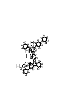 CC1(C)c2ccccc2-c2cc3c4ccccc4n(C4=CC=C(C5N=C(c6ccc(-c7ccccc7)cc6)NC(c6ccccc6)N5)NC4)c3cc21